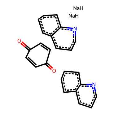 O=C1C=CC(=O)C=C1.[NaH].[NaH].c1ccc2ncccc2c1.c1ccc2ncccc2c1